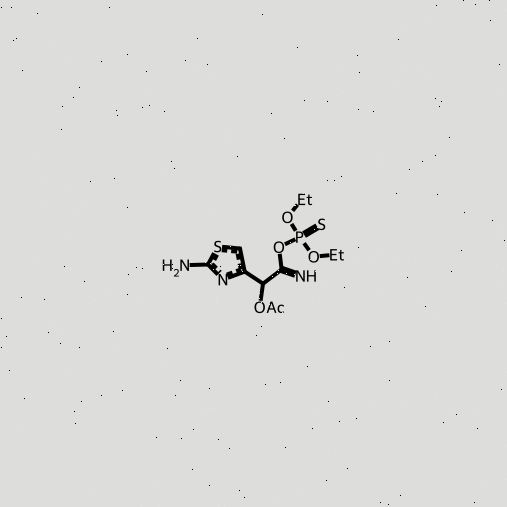 CCOP(=S)(OCC)OC(=N)C(OC(C)=O)c1csc(N)n1